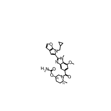 COc1cc(C(=O)N2C[C@H](OC(N)=O)CC[C@@H]2C)cc2nc(-c3cc4ccoc4n3CC3CC3)n(C)c12